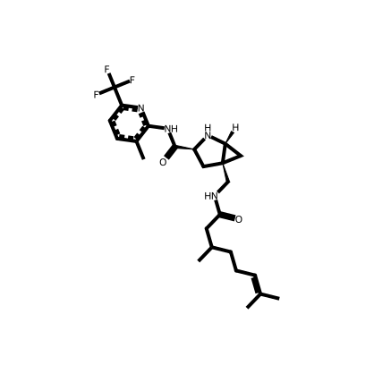 CC(C)=CCCC(C)CC(=O)NC[C@@]12C[C@@H](C(=O)Nc3nc(C(F)(F)F)ccc3C)N[C@@H]1C2